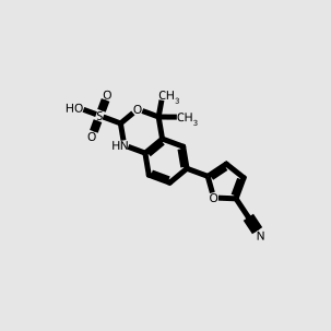 CC1(C)OC(S(=O)(=O)O)Nc2ccc(-c3ccc(C#N)o3)cc21